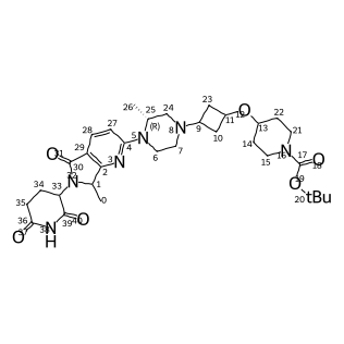 CC1c2nc(N3CCN(C4CC(OC5CCN(C(=O)OC(C)(C)C)CC5)C4)C[C@H]3C)ccc2C(=O)N1C1CCC(=O)NC1=O